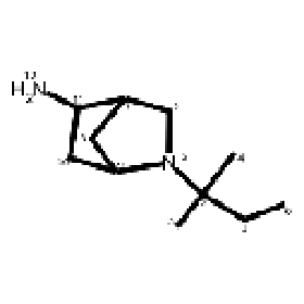 CCC(C)(C)N1CC2CC1CC2N